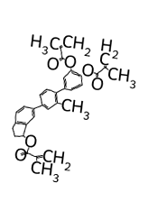 C=C(C)C(=O)Oc1ccc(-c2ccc(-c3ccc4c(c3)C(OC(=O)C(=C)C)CC4)cc2C)cc1OC(=O)C(=C)C